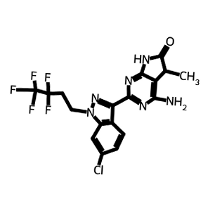 CC1C(=O)Nc2nc(-c3nn(CCC(F)(F)C(F)(F)F)c4cc(Cl)ccc34)nc(N)c21